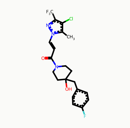 Cc1c(Cl)c(C(F)(F)F)nn1C=CC(=O)N1CCC(O)(Cc2ccc(F)cc2)CC1